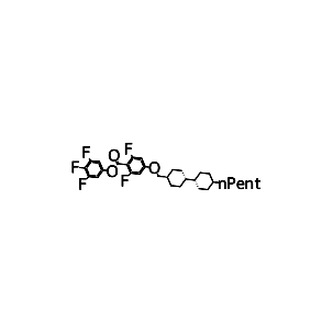 CCCCC[C@H]1CC[C@H]([C@H]2CC[C@H](COc3cc(F)c(C(=O)Oc4cc(F)c(F)c(F)c4)c(F)c3)CC2)CC1